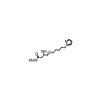 CNC(=O)CC(N)COCCCCCn1cccn1